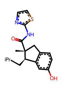 CC(C)C[C@@H]1c2cc(O)ccc2C[C@@]1(C)C(=O)Nc1nccs1